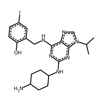 CC(C)n1cnc2c(NCc3cc(I)ccc3O)nc(NC3CCC(N)CC3)nc21